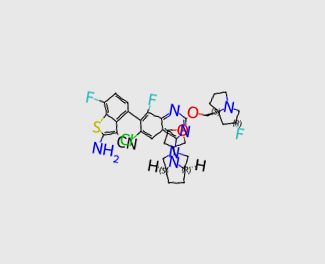 N#Cc1c(N)sc2c(F)ccc(-c3c(Cl)cc4c(N5C[C@H]6CC[C@@H](C5)N6C5CCOC5)nc(OC[C@@]56CCCN5C[C@H](F)C6)nc4c3F)c12